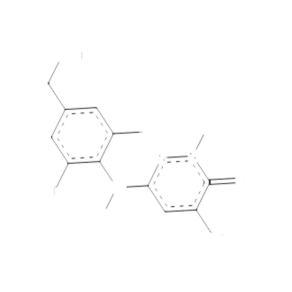 CC(C)c1cc([S+]([O-])c2c(Cl)cc(CC(=O)O)cc2Cl)nn(C)c1=O